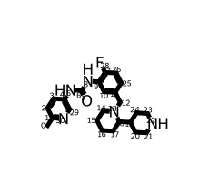 Cc1ccc(NC(=O)Nc2cc(CN3CCCCC3C3CCNCC3)ccc2F)cn1